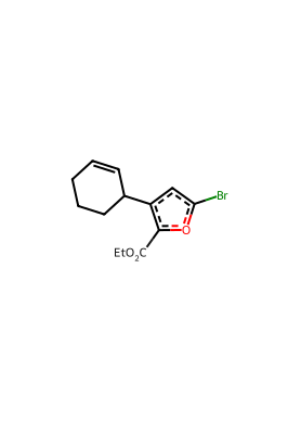 CCOC(=O)c1oc(Br)cc1C1C=CCCC1